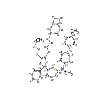 CCCCCCC1(CCCCCCc2ccc3c(c2)CC3)c2ccccc2-c2ccc(N(C)c3ccc(-c4ccc(C)cc4)cc3)cc21